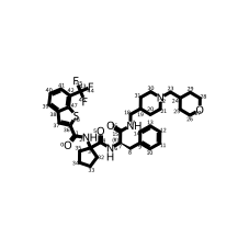 O=C(NC1(C(=O)N[C@H](Cc2ccccc2)C(=O)NCC2CCN(CC3CCOCC3)CC2)CCCC1)c1cc2cccc(C(F)(F)F)c2s1